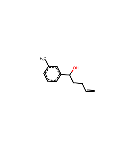 C=CCCC(O)c1cccc(C(F)(F)F)c1